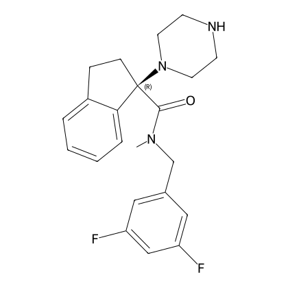 CN(Cc1cc(F)cc(F)c1)C(=O)[C@@]1(N2CCNCC2)CCc2ccccc21